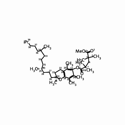 COC(=O)C(C)(C)CC(C)(C)C(=O)Oc1c(C)c(C)c2c(c1C)CC[C@](C)(CCC[C@H](C)CCCC(C)CCCC(C)C)O2